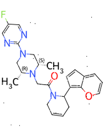 C[C@@H]1CN(c2ncc(F)cn2)C[C@H](C)N1CC(=O)N1CC=CCC1c1ccc2cccoc1-2